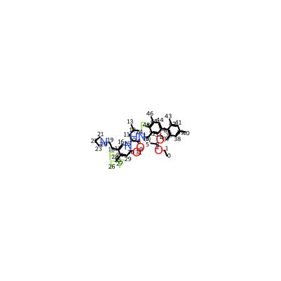 CCOC(=O)C[C@H](NC(=O)C(CC(C)C)n1cc(CCN2CCC2)c(C(F)(F)F)cc1=O)c1cc(-c2c(C)cc(C)cc2C)cc(C)c1F